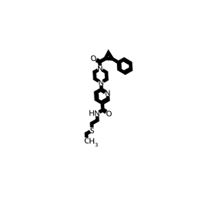 CCSCCNC(=O)c1ccc(N2CCN(C(=O)C3CC3c3ccccc3)CC2)nc1